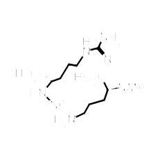 CN[C@@H](CCCN)C(=O)O.N=C(N)NCCC[C@H](N[N+](=O)[O-])C(=O)O